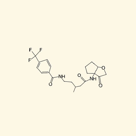 CC(CCNC(=O)c1ccc(C(F)(F)F)cc1)CC(=O)NC12CCCC1OCC2=O